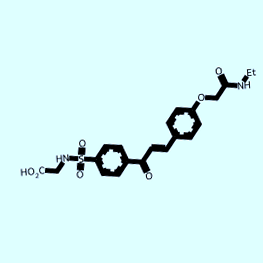 CCNC(=O)COc1ccc(/C=C/C(=O)c2ccc(S(=O)(=O)NCC(=O)O)cc2)cc1